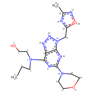 CCCN(CCO)c1nc(N2CCOCC2)nc2c1nnn2Cc1nc(C)no1